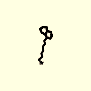 BrCCCCCCCc1cccc2ccccc12